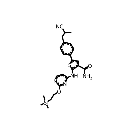 CC(C#N)Cc1ccc(-c2cc(C(N)=O)c(Nc3ccnc(OCC[Si](C)(C)C)n3)s2)cc1